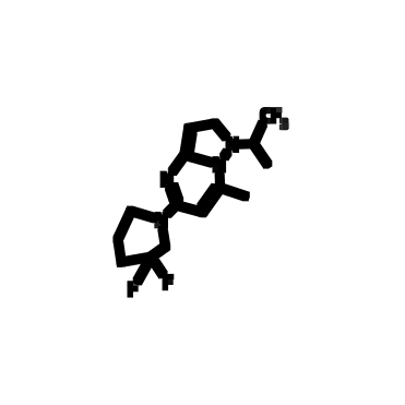 CC1=CC(N2CCCC(F)(F)C2)=NC2=CCN(C(C)C(F)(F)F)N12